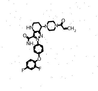 C=CC(=O)N1CCN([C@@H]2CCNc3c2nn(-c2ccc(Oc4ccc(F)cc4F)cc2)c3C(N)=O)CC1